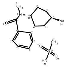 CN(C(=O)c1ccccc1)[C@H]1CC[C@H]([Na])CC1.CS(=O)(=O)O